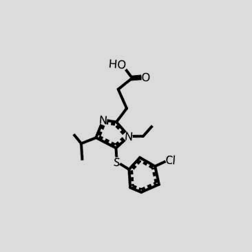 CCn1c(CCC(=O)O)nc(C(C)C)c1Sc1cccc(Cl)c1